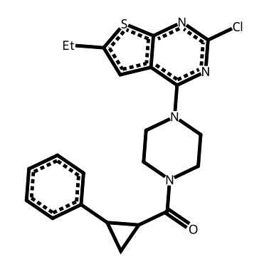 CCc1cc2c(N3CCN(C(=O)C4CC4c4ccccc4)CC3)nc(Cl)nc2s1